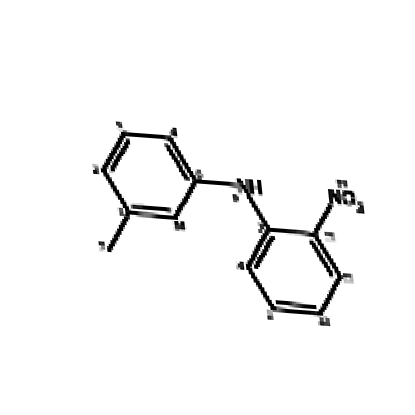 Cc1cccc(Nc2ccccc2[N+](=O)[O-])c1